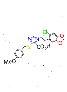 COc1ccc(CSc2ncn(CCc3cc4c(cc3Cl)OCO4)c2C(=O)O)cc1